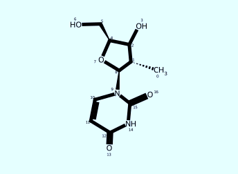 C[C@H]1C(O)[C@H](CO)O[C@@H]1n1ccc(=O)[nH]c1=O